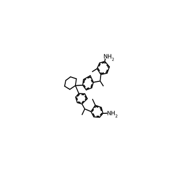 Cc1cc(N)ccc1C(C)c1ccc(C2(c3ccc(C(C)c4ccc(N)cc4C)cc3)CCCCC2)cc1